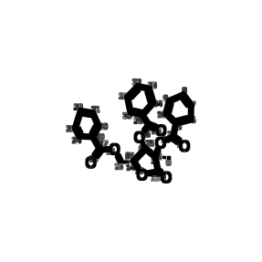 C[C@]1(OC(=O)c2ccccc2)C(=O)O[C@H](COC(=O)c2ccccc2)[C@H]1OC(=O)c1ccccc1